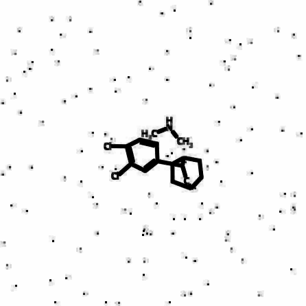 CNC.Clc1ccc(C2CC3CCC2CC3)cc1Cl